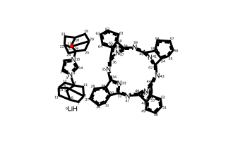 [LiH].c1c[n+](C23CC4CC(CC(C4)C2)C3)cn1C12CC3CC(CC(C3)C1)C2.c1ccc2c(c1)-c1nc-2nc2[nH]c(nc3nc(nc4[nH]c(n1)c1ccccc41)-c1ccccc1-3)c1ccccc21